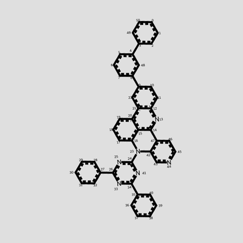 c1ccc(-c2cccc(-c3ccc4nc5c6c(cccc6c4c3)N(c3nc(-c4ccccc4)nc(-c4ccccc4)n3)c3cnccc3-5)c2)cc1